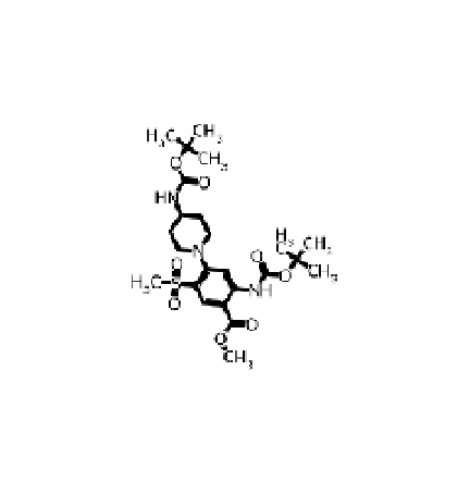 COC(=O)c1cc(S(C)(=O)=O)c(N2CCC(NC(=O)OC(C)(C)C)CC2)cc1NC(=O)OC(C)(C)C